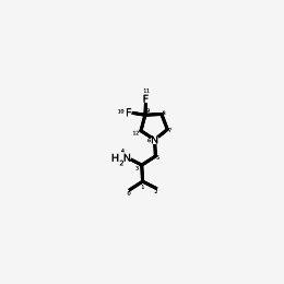 CC(C)C(N)CN1CCC(F)(F)C1